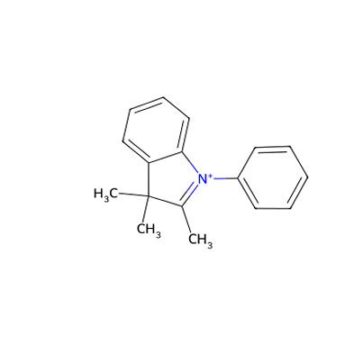 CC1=[N+](c2ccccc2)c2ccccc2C1(C)C